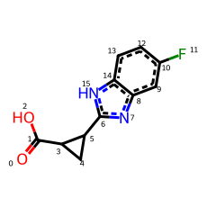 O=C(O)C1CC1c1nc2cc(F)ccc2[nH]1